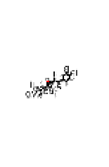 C=S=C(NC12CC(C(C)(C)C(=O)OC)(C1)C2)c1ccc(Cl)c(Cl)c1